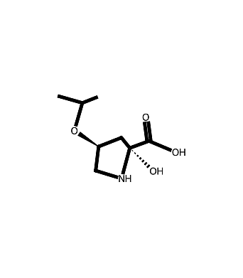 CC(C)O[C@@H]1CN[C@](O)(C(=O)O)C1